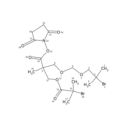 CC(C)(Br)COCOCC(C)(COC(=O)C(C)(C)Br)C(=O)ON1C(=O)CCC1=O